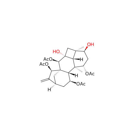 C=C1[C@@H]2C[C@H](OC(C)=O)[C@H]3[C@]4(C)[C@@H](OC(C)=O)C[C@H](O)[C@]5(C)C[C@@](O)([C@H]54)[C@H](OC(C)=O)[C@]3(C2)[C@@H]1OC(C)=O